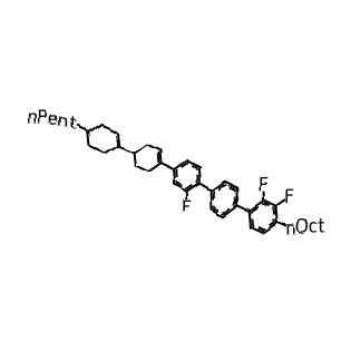 CCCCCCCCc1ccc(-c2ccc(-c3ccc(C4=CCC(C5CCC(CCCCC)CC5)CC4)cc3F)cc2)c(F)c1F